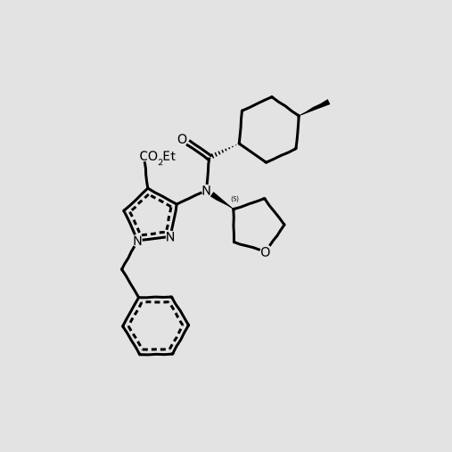 CCOC(=O)c1cn(Cc2ccccc2)nc1N(C(=O)[C@H]1CC[C@H](C)CC1)[C@H]1CCOC1